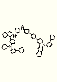 CN(c1ccc(-c2ccc(-c3ccc4c(c3)c3cc5ccccc5cc3n4-c3cccc(-c4ccccc4)c3)cc2)cc1)c1cccc(Cn2c3ccc(N(c4ccccc4)c4cccc(-c5ccccc5)c4)cc3c3c4ccccc4ccc32)c1